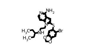 CCC(CC)NCCn1c(Sc2cc3c(cc2Br)OCO3)cc2c(N)nccc21